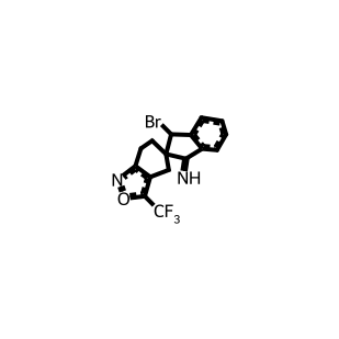 N=C1c2ccccc2C(Br)C12CCc1noc(C(F)(F)F)c1C2